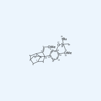 COC=C1C2CC3CC(C2)CC1(c1ccc(OC)c(O[Si](C)(C)C(C)(C)C)c1)C3